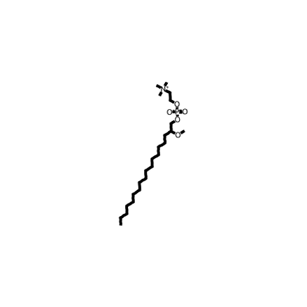 CCCCCCCCCCCCCCCCC(COP(=O)([O-])OCC[N+](C)(C)C)OC